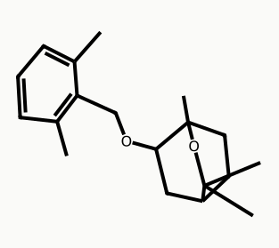 Cc1cccc(C)c1COC1CC2CCC1(C)OC2(C)C